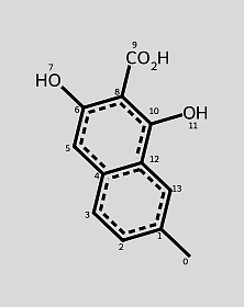 Cc1ccc2cc(O)c(C(=O)O)c(O)c2c1